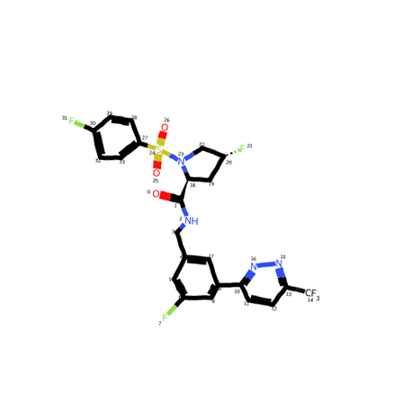 O=C(NCc1cc(F)cc(-c2ccc(C(F)(F)F)nn2)c1)[C@@H]1C[C@@H](F)CN1S(=O)(=O)c1ccc(F)cc1